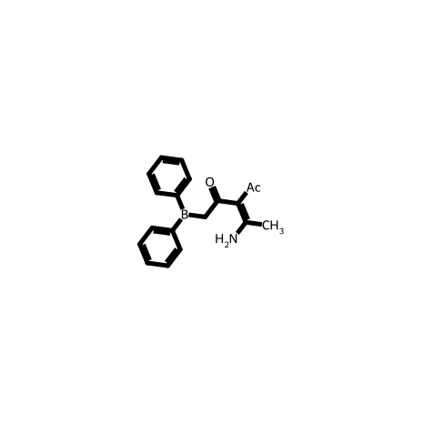 CC(=O)C(C(=O)CB(c1ccccc1)c1ccccc1)=C(C)N